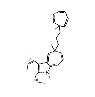 C/C=C\c1c(/C=C\C)n(C)c2c1=CC(C)(CCCC1(C)C=CC=CC=C1)C=CC=2